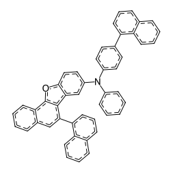 c1ccc(N(c2ccc(-c3cccc4ccccc34)cc2)c2ccc3oc4c5ccccc5cc(-c5cccc6ccccc56)c4c3c2)cc1